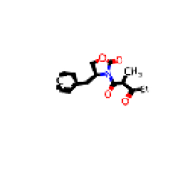 CCC(=O)C(C)C(=O)N1C(=O)OCC1Cc1ccccc1